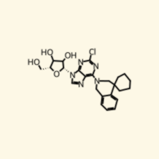 OC[C@H]1O[C@@H](n2cnc3c(N4Cc5ccccc5C5(CCCCC5)C4)nc(Cl)nc32)C(O)C1O